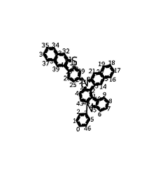 c1ccc(-n2c3ccccc3c3c4c5cc6ccccc6cc5n(-c5ccc6c(c5)sc5cc7ccccc7cc56)c4ccc32)cc1